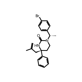 C=C(C)C[C@]1(c2ccccc2)CCN([C@@H](C)c2ccc(Br)cc2)C(=O)N1